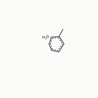 Cc1ccccc1.O